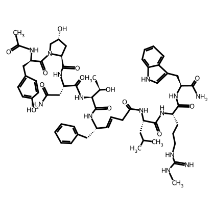 CNC(=N)NCCC[C@H](NC(=O)[C@H](CC(C)C)NC(=O)C/C=C/[C@H](Cc1ccccc1)NC(=O)[C@@H](NC(=O)[C@H](CC(N)=O)NC(=O)[C@@H]1C[C@@H](O)CN1C(=O)[C@@H](Cc1ccc(O)cc1)NC(C)=O)[C@@H](C)O)C(=O)N[C@@H](Cc1c[nH]c2ccccc12)C(N)=O